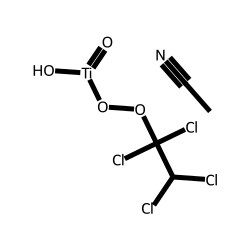 CC#N.[O]=[Ti]([OH])[O]OC(Cl)(Cl)C(Cl)Cl